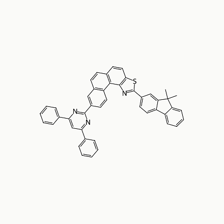 CC1(C)c2ccccc2-c2ccc(-c3nc4c(ccc5ccc6cc(-c7nc(-c8ccccc8)cc(-c8ccccc8)n7)ccc6c54)s3)cc21